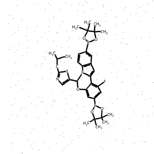 CC(C)Cc1ncc(C2Oc3cc(B4OC(C)(C)C(C)(C)O4)cc(F)c3-c3cc4cc(B5OC(C)(C)C(C)(C)O5)ccc4n32)s1